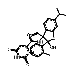 Cc1ccccc1C1(O)Oc2cc(C(C)C)ccc2C1(C=O)NC(=O)c1cc(=O)[nH]c(=O)[nH]1